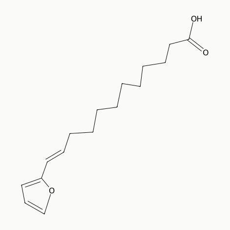 O=C(O)CCCCCCCCCC=Cc1ccco1